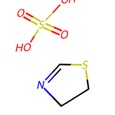 C1=NCCS1.O=S(=O)(O)O